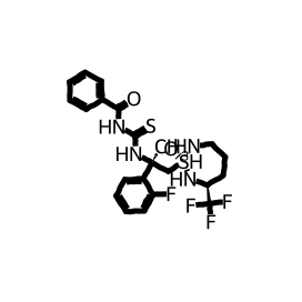 C[C@@](C[SH]1(=O)NCCC[C@@H](C(F)(F)F)N1)(NC(=S)NC(=O)c1ccccc1)c1ccccc1F